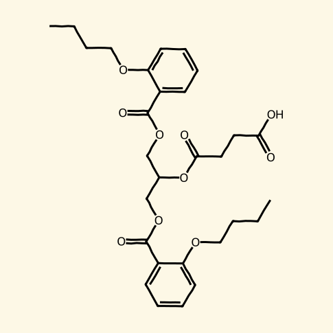 CCCCOc1ccccc1C(=O)OCC(COC(=O)c1ccccc1OCCCC)OC(=O)CCC(=O)O